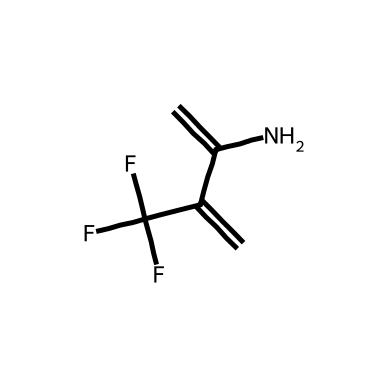 C=C(N)C(=C)C(F)(F)F